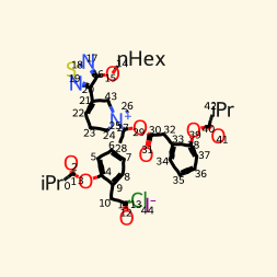 CC(C)C(=O)Oc1ccccc1CC(=O)Cl.CCCCCCOc1nsnc1C1=CCC[N+](C)(C(C)OC(=O)Cc2ccccc2OC(=O)C(C)C)C1.[I-]